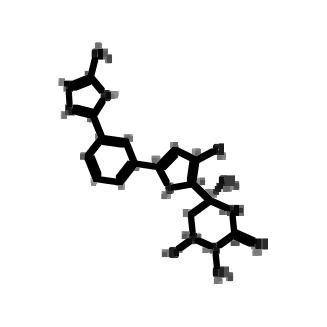 Cc1nnc(-c2cccc(-c3cc(Cl)c([C@]4(C)C[S+]([O-])N(C)C(=N)N4)s3)c2)o1